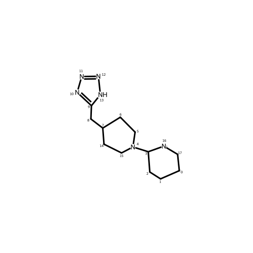 C1CCC(N2CCC(Cc3nnn[nH]3)CC2)[N]C1